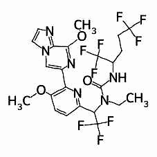 CCN(C(=O)NC(CCC(F)(F)F)C(F)(F)F)C(c1ccc(OC)c(-c2cn3ccnc3c(OC)n2)n1)C(F)(F)F